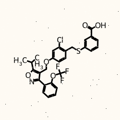 CC(C)c1onc(-c2ccccc2OC(F)(F)F)c1COc1ccc(CSc2cccc(C(=O)O)c2)c(Cl)c1